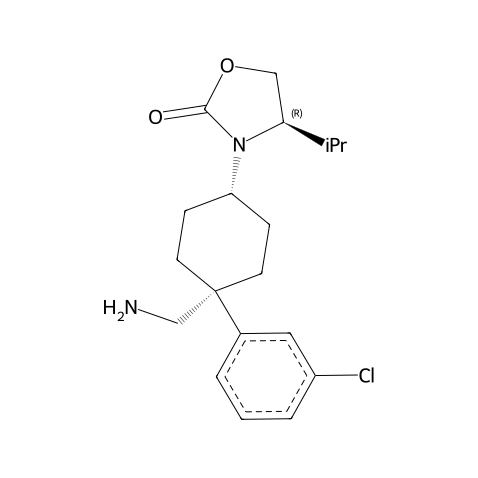 CC(C)[C@@H]1COC(=O)N1[C@H]1CC[C@](CN)(c2cccc(Cl)c2)CC1